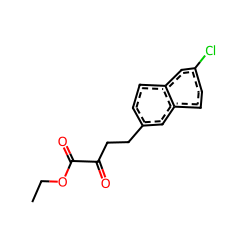 CCOC(=O)C(=O)CCc1ccc2cc(Cl)ccc2c1